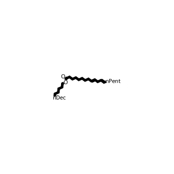 CCCCCC=CCC=CCCCCCCCC(=O)OCCCCCCCCCCCCCCC